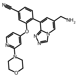 N#Cc1ccc(-c2cc(CN)cn3cnnc23)c(Oc2ccnc(N3CCOCC3)c2)c1